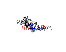 C=CC(=O)N1CC(NC(=O)c2c(C(F)(F)F)nc(CNc3cc(C(C)(C)C)c(C)cc3O)n2C(C)C)C1